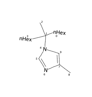 CCCCCCC(C)(CCCCCC)n1cnc(C)c1